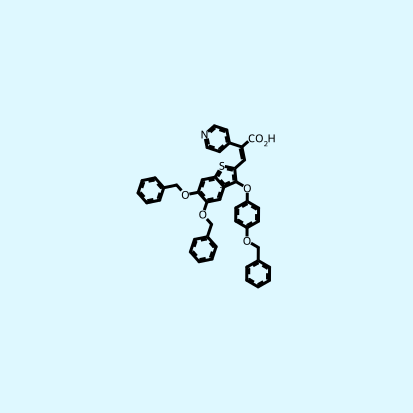 O=C(O)/C(=C/c1sc2cc(OCc3ccccc3)c(OCc3ccccc3)cc2c1Oc1ccc(OCc2ccccc2)cc1)c1ccncc1